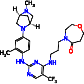 Cc1cc(N2C[C@@H]3C[C@H]2CN3C)ccc1Nc1ncc(C(F)(F)F)c(NCCCN2CCOCCC2=O)n1